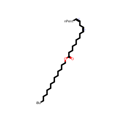 CCCCC/C=C\C/C=C\CCCCCCCC(=O)OCCCCCCCCCCCCCC(C)CC